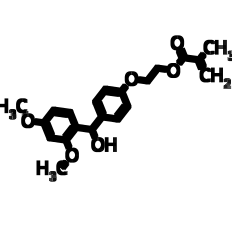 C=C(C)C(=O)OCCOc1ccc(C(O)c2ccc(OC)cc2OC)cc1